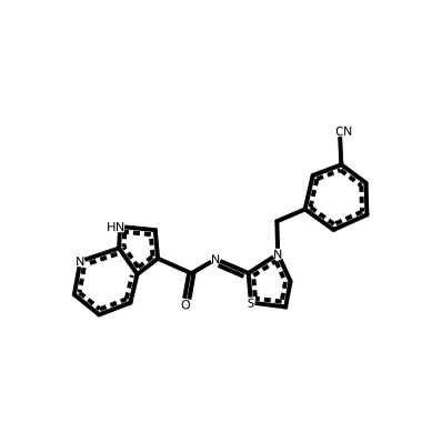 N#Cc1cccc(Cn2ccs/c2=N\C(=O)c2c[nH]c3ncccc23)c1